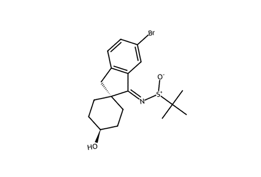 CC(C)(C)[S+]([O-])N=C1c2cc(Br)ccc2C[C@]12CC[C@H](O)CC2